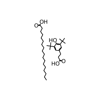 CC(C)(C)c1cc(CCC(=O)O)cc(C(C)(C)C)c1O.CCCCCCCCCCCCCCCCCC(=O)O